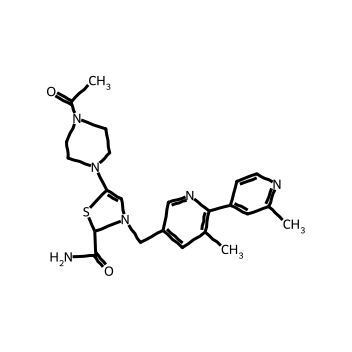 CC(=O)N1CCN(C2=CN(Cc3cnc(-c4ccnc(C)c4)c(C)c3)C(C(N)=O)S2)CC1